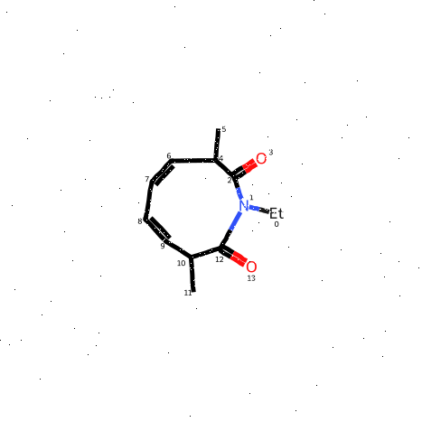 CCN1C(=O)C(C)/C=C\C=C/C(C)C1=O